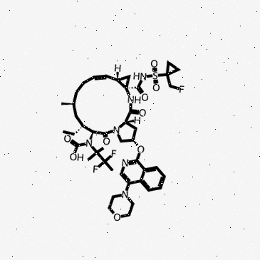 CC[C@@H]1C[C@@H](C)CCC=C[C@@H]2C[C@@]2(C(=O)NS(=O)(=O)C2(CF)CC2)NC(=O)[C@@H]2C[C@@H](Oc3ncc(N4CCOCC4)c4ccccc34)CN2C(=O)[C@H]1N(C(=O)O)C(C)(C)C(C)(F)F